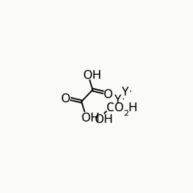 O=C(O)C(=O)O.O=C(O)O.[Y].[Y]